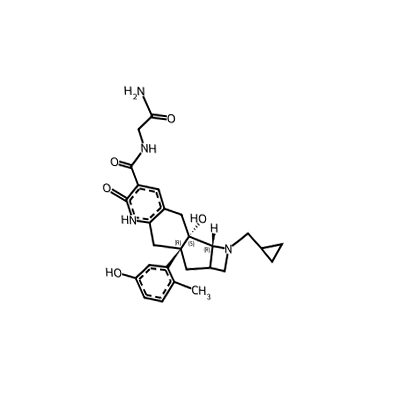 Cc1ccc(O)cc1[C@@]12Cc3[nH]c(=O)c(C(=O)NCC(N)=O)cc3C[C@@]1(O)[C@H]1C(CN1CC1CC1)C2